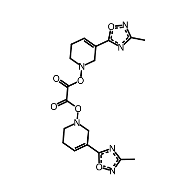 Cc1noc(C2=CCCN(OC(=O)C(=O)ON3CCC=C(c4nc(C)no4)C3)C2)n1